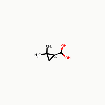 CC1(C)C[C@@H]1C(O)O